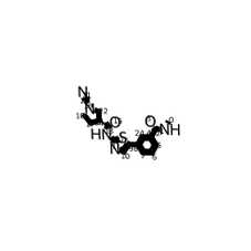 CNC(=O)c1cccc(-c2cnc(NC(=O)[C@H]3CCN(C#N)C3)s2)c1